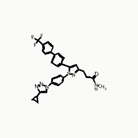 CNC(=O)CCc1cc(-c2ccc(-c3ccc(C(F)(F)F)cc3)cc2)n(-c2ccc(-n3cc(C4CC4)nn3)cc2)n1